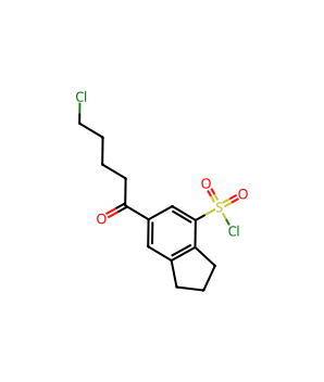 O=C(CCCCCl)c1cc2c(c(S(=O)(=O)Cl)c1)CCC2